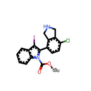 CC(C)(C)OC(=O)n1c(-c2ccc(Cl)c3c2CNC3)c(I)c2ccccc21